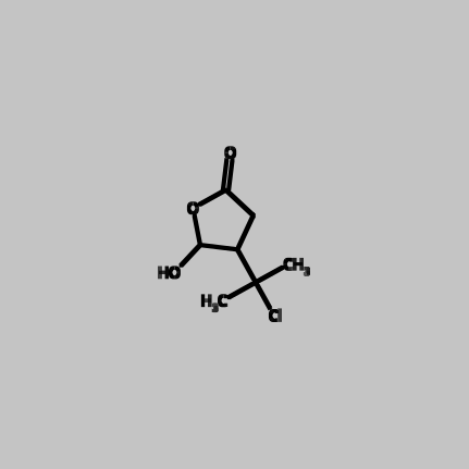 CC(C)(Cl)C1CC(=O)OC1O